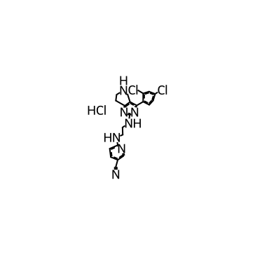 Cl.N#Cc1ccc(NCCNc2nc3c(c(-c4ccc(Cl)cc4Cl)n2)CNCC3)nc1